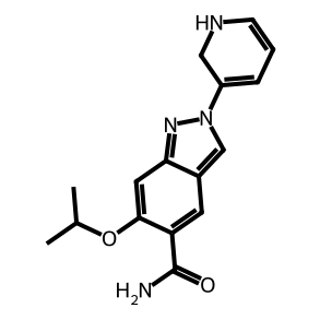 CC(C)Oc1cc2nn(C3=CC=CNC3)cc2cc1C(N)=O